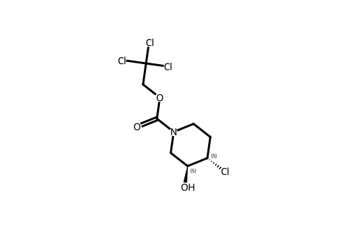 O=C(OCC(Cl)(Cl)Cl)N1CC[C@H](Cl)[C@@H](O)C1